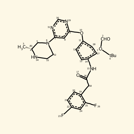 CC(C)(C)OC=O.C[C@@H]1CN(c2cc(Oc3ccc(NC(=O)Cc4ccc(F)cc4F)cc3)ncn2)CCN1